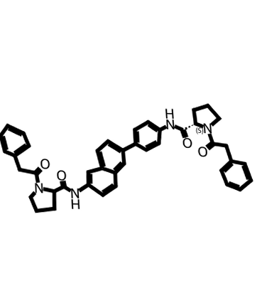 O=C(Nc1ccc2cc(-c3ccc(NC(=O)[C@@H]4CCCN4C(=O)Cc4ccccc4)cc3)ccc2c1)C1CCCN1C(=O)Cc1ccccc1